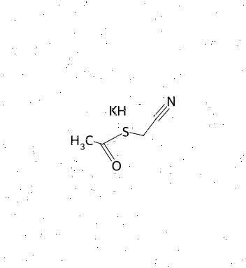 CC(=O)SCC#N.[KH]